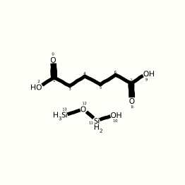 O=C(O)CCCCC(=O)O.O[SiH2]O[SiH3]